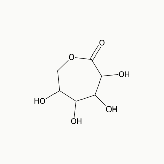 O=C1OCC(O)C(O)C(O)C1O